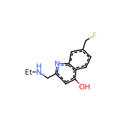 CCNCc1cc(O)c2ccc(CF)cc2n1